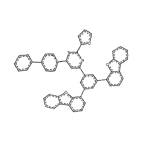 c1ccc(-c2ccc(-c3cc(-c4cc(-c5cccc6c5oc5ccccc56)cc(-c5cccc6c5oc5ccccc56)c4)nc(-c4ccco4)n3)cc2)cc1